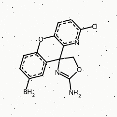 Bc1ccc2c(c1)C1(COC(N)=N1)c1nc(Cl)ccc1O2